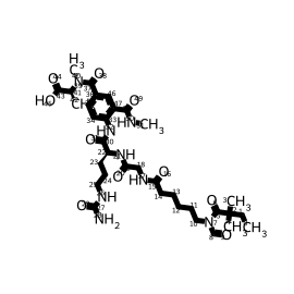 CCC(C)(C)C(=O)N(C=O)CCCCCC(=O)NCC(=O)N[C@@H](CCCNC(N)=O)C(=O)Nc1ccc(C(=O)N(C)[C@@H](C)C(=O)O)cc1C(=O)NC